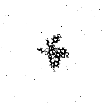 CCCCOC1[C@@H](OCCCC)[C@H](OCCCC)C(COCc2ccc(OC)cc2)(COCc2ccc(OC)cc2)OC1(O)c1ccc(Cl)c(Cc2ccc(OC)cc2)c1